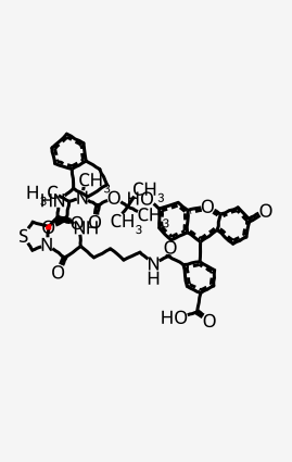 CC(C(=O)NC(CCCCNC(=O)c1cc(C(=O)O)ccc1-c1c2ccc(=O)cc-2oc2cc(O)ccc12)C(=O)N1CSCC1C(=O)NC1CCCc2ccccc21)N(C)C(=O)OC(C)(C)C